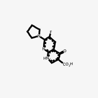 O=C(O)c1c[nH]c2nc(N3CCCC3)c(F)cc2c1=O